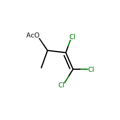 CC(=O)OC(C)C(Cl)=C(Cl)Cl